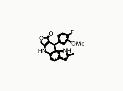 COc1cc(C2C3=C(COC3=O)Nc3ccc4cc(C)[nH]c4c32)ccc1F